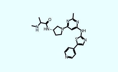 CNC(C)C(=O)N[C@H]1CCN(c2cc(Nc3ncc(-c4ccncc4)s3)nc(C)n2)C1